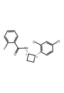 O=C(N[C@H]1CC[C@H]1c1ccc(Cl)cc1Cl)c1ccccc1F